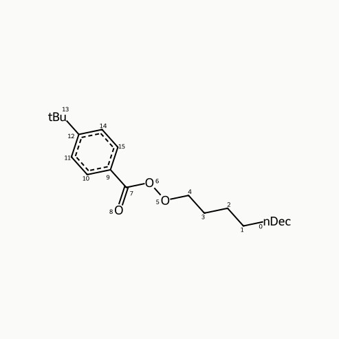 [CH2]CCCCCCCCCCCCCOOC(=O)c1ccc(C(C)(C)C)cc1